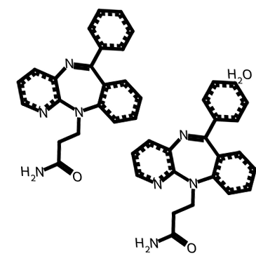 NC(=O)CCN1c2ccccc2C(c2ccccc2)=Nc2cccnc21.NC(=O)CCN1c2ccccc2C(c2ccccc2)=Nc2cccnc21.O